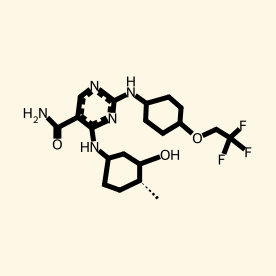 C[C@@H]1CCC(Nc2nc(NC3CCC(OCC(F)(F)F)CC3)ncc2C(N)=O)CC1O